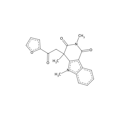 CN1C(=O)c2c(n(C)c3ccccc23)C(C)(CC(=O)c2ccco2)C1=O